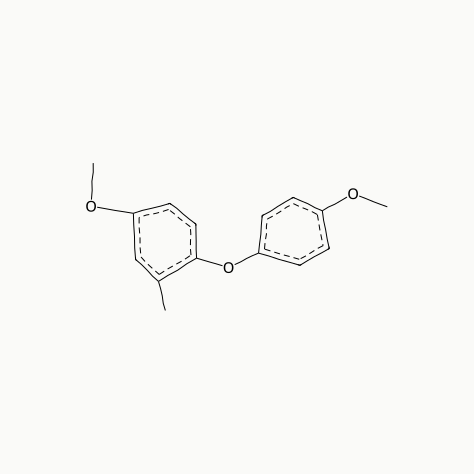 COc1ccc(Oc2ccc(OC)cc2C)cc1